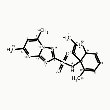 CC=CC1(NS(=O)(=O)c2nc3nc(C)cc(C)n3n2)C(C)=CC=CC1C(=O)O